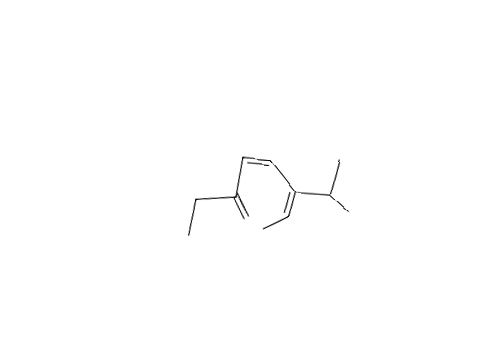 C=C(/C=C\C(=C/C)C(C)C)CC